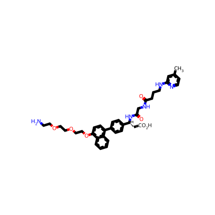 Cc1ccnc(NCCCC(=O)NCC(=O)N[C@H](CC(=O)O)c2ccc(-c3ccc(OCCOCCOCCN)c4ccccc34)cc2)c1